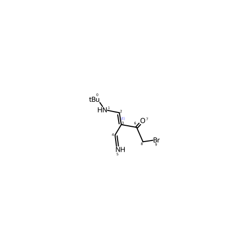 CC(C)(C)N/C=C(\C=N)C(=O)CBr